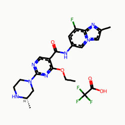 CCOc1nc(N2CCN[C@@H](C)C2)ncc1C(=O)Nc1cc(F)c2nc(C)cn2c1.O=C(O)C(F)(F)F